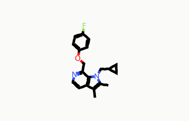 Cc1c(C)n(CC2CC2)c2c(COc3ccc(F)cc3)nccc12